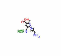 Cc1nc(N2CC(CN)C2)c(C#N)cc1C(=O)O.Cl.Cl